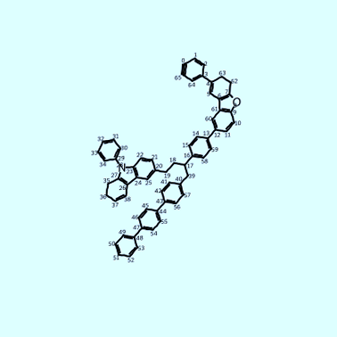 c1ccc(C2=Cc3c(oc4ccc(-c5ccc(C(CCc6ccc7c(c6)c6c(n7-c7ccccc7)CCC=C6)Cc6ccc(-c7ccc(-c8ccccc8)cc7)cc6)cc5)cc34)CC2)cc#1